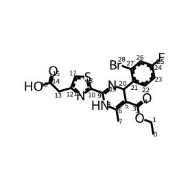 CCOC(=O)C1=C(C)NC(c2nc(CC(=O)O)cs2)=NC1c1ccc(F)cc1Br